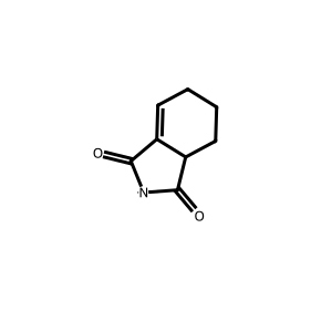 O=C1[N]C(=O)C2CCCC=C12